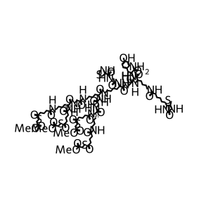 COC(=O)CSC(=O)CCCC(=O)NCCCC[C@H](NC(=O)CCCC(=O)SCC(=O)OC)C(=O)NCC(=O)NCCCCC(NC(=O)CNC(=O)[C@H](CCCCNC(=O)CCCC(=O)SCC(=O)OC)NC(=O)CCCC(=O)SCC(=O)OC)C(=O)NCCCCC(NC(=O)CNC(=O)C1CSCN1)C(=O)NCC(=O)NC(CCCCNC(=O)CCCCC1SCC2NC(=O)NC21)C(=O)NC(Cc1ccc(O)cc1)C(N)=O